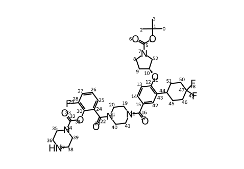 CC(C)(C)OC(=O)N1CC[C@H](Oc2ccc(C(=O)N3CCN(C(=O)c4cccc(F)c4OC(=O)N4CCNCC4)CC3)cc2C2CCC(F)(F)CC2)C1